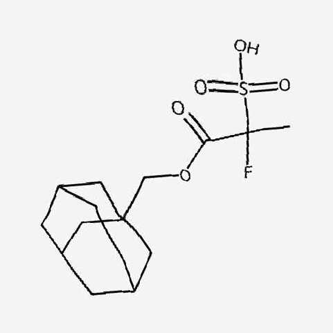 CC(F)(C(=O)OCC12CC3CC(CC(C3)C1)C2)S(=O)(=O)O